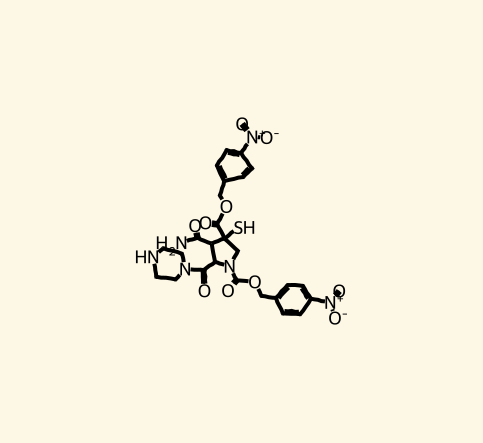 NC(=O)C1C(C(=O)N2CCNCC2)N(C(=O)OCc2ccc([N+](=O)[O-])cc2)CC1(S)C(=O)OCc1ccc([N+](=O)[O-])cc1